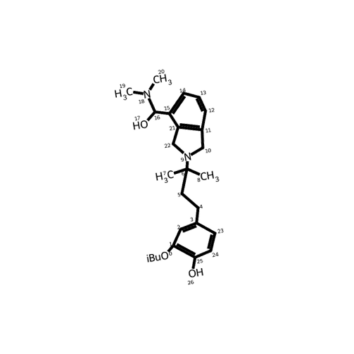 CC(C)COc1cc(CCC(C)(C)N2Cc3cccc(C(O)N(C)C)c3C2)ccc1O